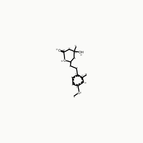 COc1ccc(CCC2CC(C)(O)CC(=O)O2)c(C)c1